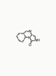 O=c1[nH]cc2ncc3ccccc3n12